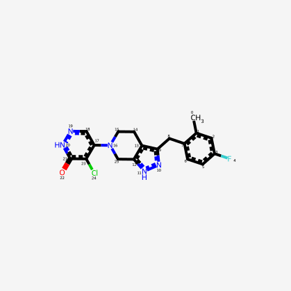 Cc1cc(F)ccc1Cc1n[nH]c2c1CCN(c1cn[nH]c(=O)c1Cl)C2